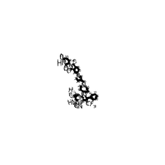 CC(CN1C=C(C(F)(F)F)C(c2ccccc2)N1C1CCN(CC2CCN(c3ccc4c(c3)C(=O)N(C3CCC(=O)NC3=O)C4=O)C2)CC1)C(=O)NC#N